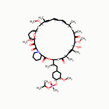 CO[C@H]1C[C@@H]2CC[C@@H](C)[C@@](O)(O2)C(=O)C(=O)N2CCCCC2C(=O)OC([C@H](C)CC2CC[C@@H](OP(C)(=O)OC(C)C)[C@H](OC)C2)CC(=O)[C@H](C)/C=C(\C)[C@@H](O)[C@@H](OC)C(=O)[C@H](C)C[C@H](C)/C=C/C=C/C=C/1C